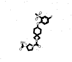 CS(=O)(=O)c1cc(F)ccc1OC1CCC2(CC1)CN(C(=O)N1CC[C@H](C(N)=O)C1)C2